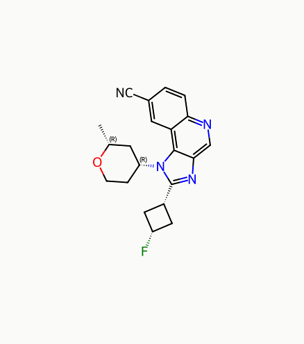 C[C@@H]1C[C@H](n2c3c(cnc4ccc(C#N)cc43)nc2[C@H]2C[C@@H](F)C2)CCO1